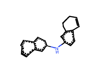 C1=Cc2ccc(Nc3ccc4ccccc4c3)cc2CC1